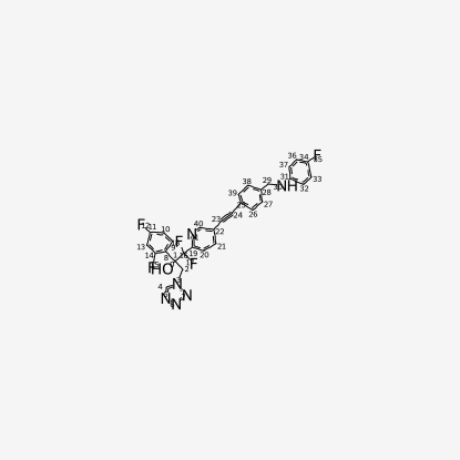 OC(Cn1cnnn1)(c1ccc(F)cc1F)C(F)(F)c1ccc(C#Cc2ccc(CNc3ccc(F)cc3)cc2)cn1